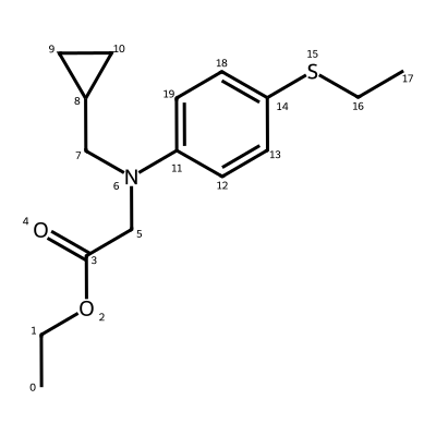 CCOC(=O)CN(CC1CC1)c1ccc(SCC)cc1